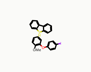 COc1ccc([SH]2c3ccccc3-c3ccccc32)cc1Oc1ccc(I)cc1